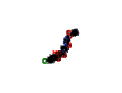 O=C(OCN1C=C2C(=O)N(C3CCN(C(=O)[C@H](O)CS(=O)(=O)c4ccc5cc(Cl)ccc5c4)CC3)CN2C1)c1ccccc1